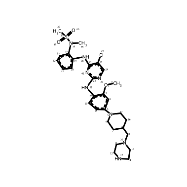 COc1cc(N2CCC(CN3CCNCC3)CC2)ccc1Nc1ncc(Cl)c(Nc2ccccc2N(C)S(C)(=O)=O)n1